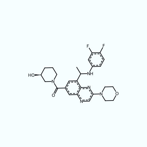 CC(Nc1ccc(F)c(F)c1)c1cc(C(=O)N2CCC[C@H](O)C2)cc2ncc(N3CCOCC3)nc12